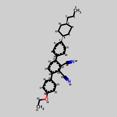 CCC[C@H]1CC[C@H](c2ccc(-c3ccc(-c4ccc(OCC)cc4)c(C#N)c3C#N)cc2)CC1